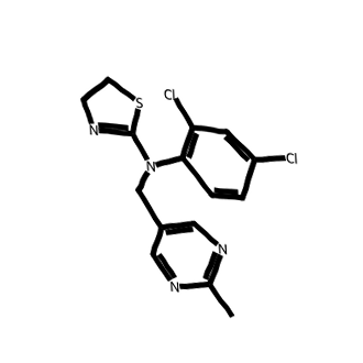 Cc1ncc(CN(C2=NCCS2)c2ccc(Cl)cc2Cl)cn1